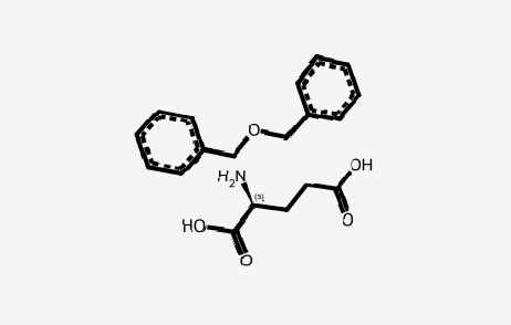 N[C@@H](CCC(=O)O)C(=O)O.c1ccc(COCc2ccccc2)cc1